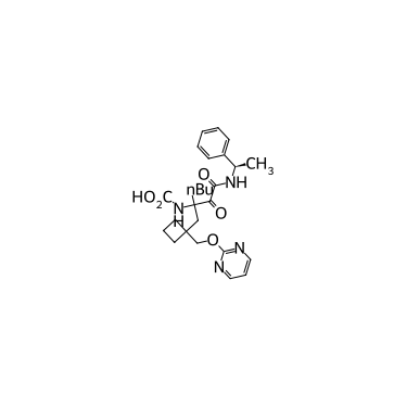 CCCCC(CC1(COc2ncccn2)CCC1)(NC(=O)O)C(=O)C(=O)N[C@H](C)c1ccccc1